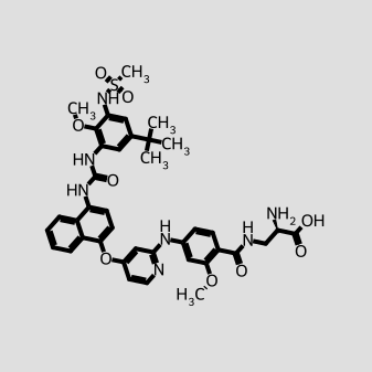 COc1cc(Nc2cc(Oc3ccc(NC(=O)Nc4cc(C(C)(C)C)cc(NS(C)(=O)=O)c4OC)c4ccccc34)ccn2)ccc1C(=O)NC[C@@H](N)C(=O)O